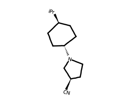 CC(C)[C@H]1CC[C@H](N2CC[C@@H](C#N)C2)CC1